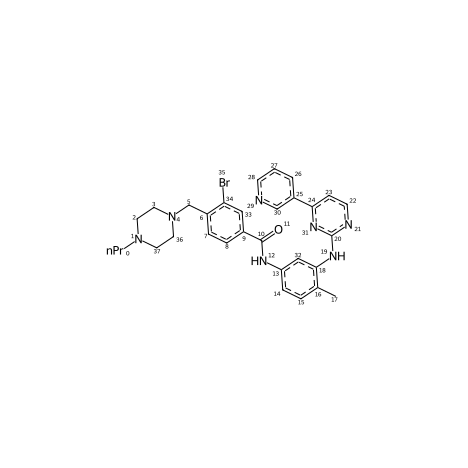 CCCN1CCN(Cc2ccc(C(=O)Nc3ccc(C)c(Nc4nccc(-c5cccnc5)n4)c3)cc2Br)CC1